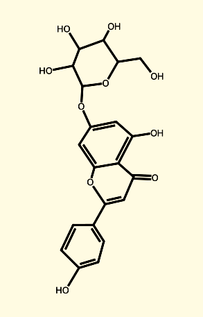 O=c1cc(-c2ccc(O)cc2)oc2cc(OC3OC(CO)C(O)C(O)C3O)cc(O)c12